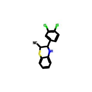 N#CC1Sc2ccccc2NC1c1ccc(Cl)c(Cl)c1